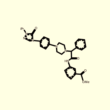 COC(=O)c1cccc(NC(=O)C(c2ccccc2)N2CCN(c3ccc(-n4cnn(C(C)C)c4=O)cc3)CC2)c1